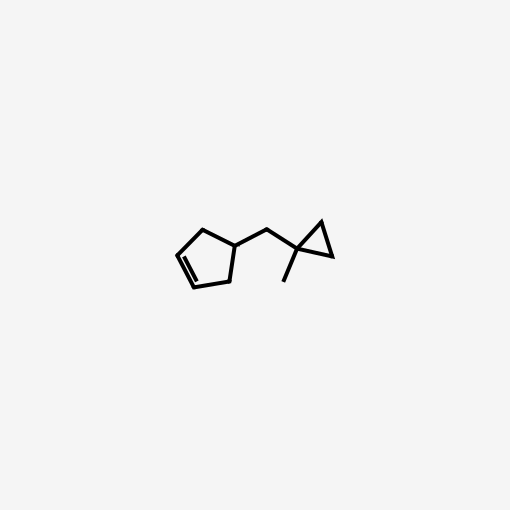 CC1(C[C]2CC=CC2)CC1